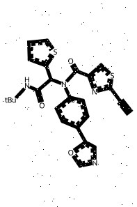 C#Cc1nc(C(=O)N(c2ccc(-c3cnco3)cc2)C(C(=O)NC(C)(C)C)c2cccs2)cs1